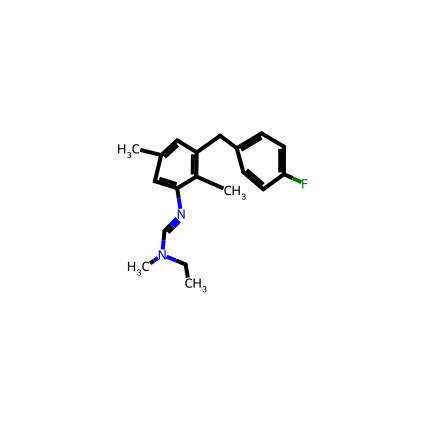 CCN(C)C=Nc1cc(C)cc(Cc2ccc(F)cc2)c1C